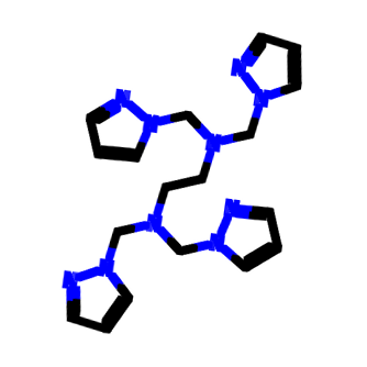 c1cnn(CN(CCN(Cn2cccn2)Cn2cccn2)Cn2cccn2)c1